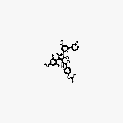 COc1cc(C2CCCN(C)C2)nc(-n2c(=O)c(NC(=O)c3ccc(OC(F)F)cc3)c(-c3c(F)cc(OC)cc3F)n2C)c1